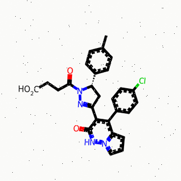 Cc1ccc([C@@H]2CC(c3c(-c4ccc(Cl)cc4)c4cccn4[nH]c3=O)=NN2C(=O)CCC(=O)O)cc1